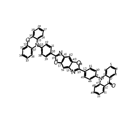 O=c1c2ccccc2n(-c2ccc(-c3nc4cc5oc(-c6ccc(N7c8ccccc8Oc8ccccc87)cc6)nc5cc4o3)cc2)c2ccccc12